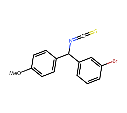 COc1ccc(C(N=C=S)c2cccc(Br)c2)cc1